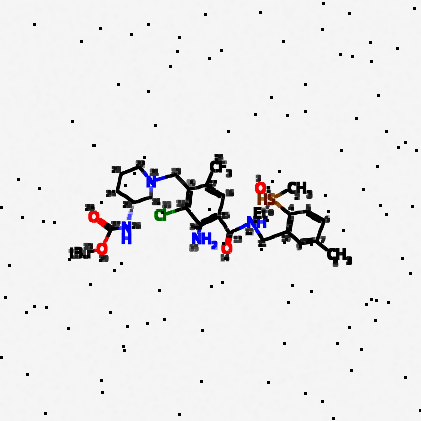 CC[SH](C)(=O)c1ccc(C)cc1CNC(=O)c1cc(C(F)(F)F)c(CN2CCC[C@@H](NC(=O)OC(C)(C)C)C2)c(Cl)c1N